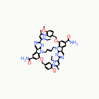 CCn1nc(C)cc1-c1ncc2c3cc(C(N)=O)cc(OCc4ccc(OC)cc4)c3n(C/C=C/Cn3c4nc(-c5cc(C)nn5CC)ncc4c4cc(C(N)=O)cc(OCc5ccc(OC)cc5)c43)c2n1